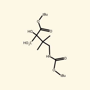 CC(C)(C)OC(=O)NCC(C)(C)C(O)(C(=O)O)C(=O)OC(C)(C)C